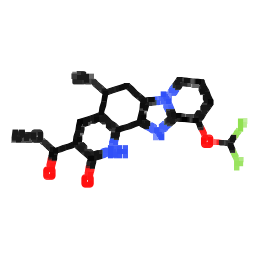 COC(=O)c1cc2c([nH]c1=O)-c1nc3c(OC(F)F)cccn3c1CC2C(C)(C)C